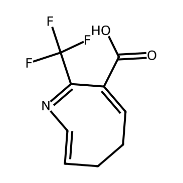 O=C(O)C1=C/CC/C=C/N=C\1C(F)(F)F